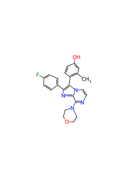 Cc1cc(O)ccc1-c1c(-c2ccc(F)cc2)nc2c(N3CCOCC3)nccn12